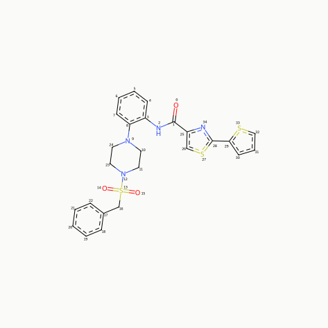 O=C(Nc1ccccc1N1CCN(S(=O)(=O)Cc2ccccc2)CC1)c1csc(-c2cccs2)n1